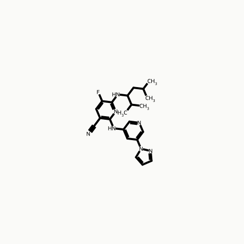 CC(C)CC(Nc1nc(Nc2cncc(-n3cccn3)c2)c(C#N)cc1F)C(C)C